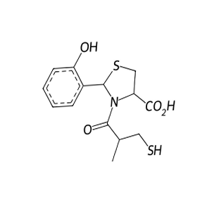 CC(CS)C(=O)N1C(C(=O)O)CSC1c1ccccc1O